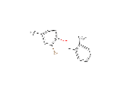 Cc1ccc(OCc2ccccc2C(=O)O)c(Br)c1